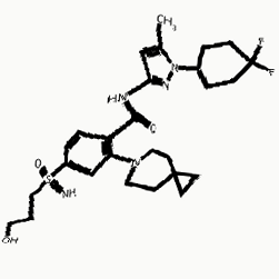 Cc1cc(NC(=O)c2ccc(S(=N)(=O)CCCO)cc2N2CCC3(CC2)CC3)nn1C1CCC(F)(F)CC1